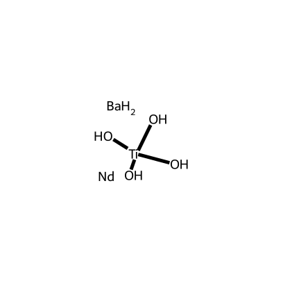 [BaH2].[Nd].[OH][Ti]([OH])([OH])[OH]